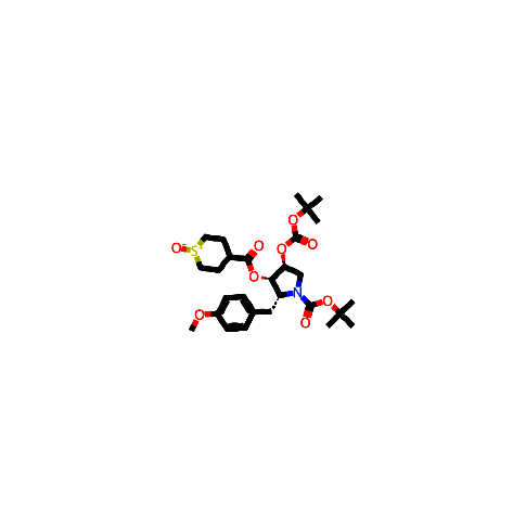 COc1ccc(C[C@@H]2[C@H](OC(=O)C3CC[S+]([O-])CC3)[C@@H](OC(=O)OC(C)(C)C)CN2C(=O)OC(C)(C)C)cc1